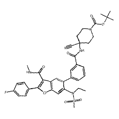 CCN(c1cc2oc(-c3ccc(F)cc3)c(C(=O)NC)c2cc1-c1cccc(C(=O)NC2(C#N)CCN(C(=O)OC(C)(C)C)CC2)c1)S(C)(=O)=O